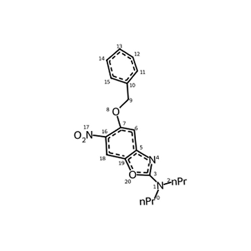 CCCN(CCC)c1nc2cc(OCc3ccccc3)c([N+](=O)[O-])cc2o1